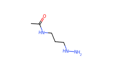 CC(=O)NCCCNN